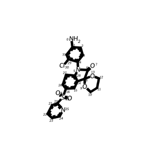 Nc1ccc(N2C(=O)C3(OCCCO3)c3cc(S(=O)(=O)c4ccccn4)ccc32)c(Cl)c1